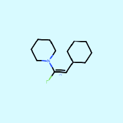 F/C(=C/C1CCCCC1)N1CCCCC1